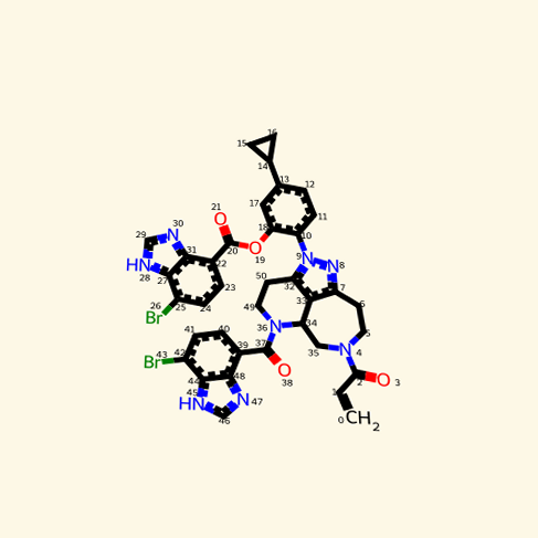 C=CC(=O)N1CCc2nn(-c3ccc(C4CC4)cc3OC(=O)c3ccc(Br)c4[nH]cnc34)c3c2C(C1)N(C(=O)c1ccc(Br)c2[nH]cnc12)CC3